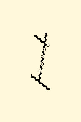 CCCCCCC(CCCC)CCCOCCOCCOCCOCC(=O)C(CCCC)CCCCC